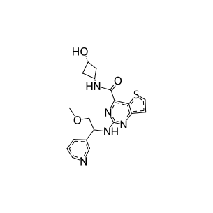 COCC(Nc1nc(C(=O)N[C@H]2C[C@@H](O)C2)c2sccc2n1)c1cccnc1